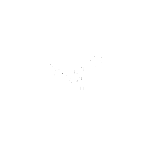 CN[C@@H]1CCN(c2nc(N)nc(NCC3CCOCC3)n2)C1